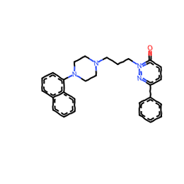 O=c1ccc(-c2ccccc2)nn1CCCN1CCN(c2cccc3ccccc23)CC1